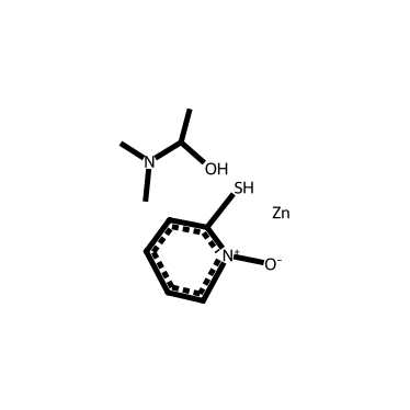 CC(O)N(C)C.[O-][n+]1ccccc1S.[Zn]